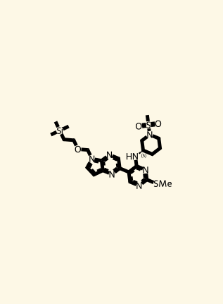 CSc1ncc(-c2cnc3c(ccn3COCC[Si](C)(C)C)n2)c(N[C@H]2CCCN(S(C)(=O)=O)C2)n1